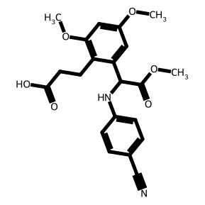 COC(=O)C(Nc1ccc(C#N)cc1)c1cc(OC)cc(OC)c1CCC(=O)O